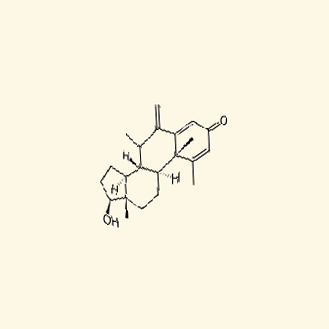 C=C1C2=CC(=O)C=C(C)[C@]2(C)[C@H]2CC[C@]3(C)[C@@H](O)CC[C@H]3[C@@H]2C1C